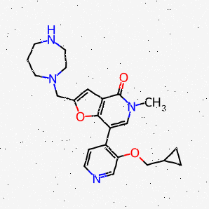 Cn1cc(-c2ccncc2OCC2CC2)c2oc(CN3CCCNCC3)cc2c1=O